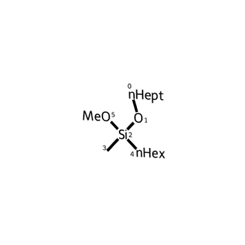 CCCCCCCO[Si](C)(CCCCCC)OC